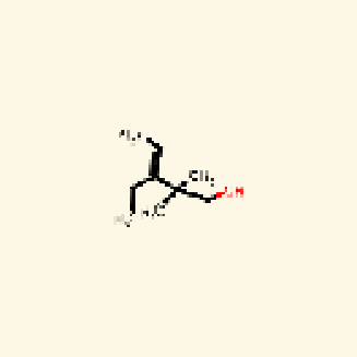 C/C=C(\CC)C(C)(C)CO